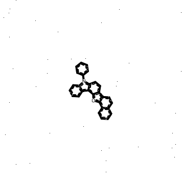 c1ccc(-n2c3ccccc3c3c4oc5c6ccccc6ccc5c4ccc32)cc1